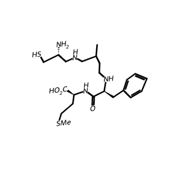 CSCC[C@H](NC(=O)[C@H](Cc1ccccc1)NCCC(C)CNC[C@@H](N)CS)C(=O)O